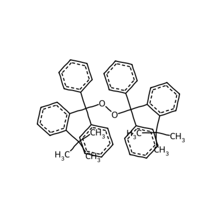 CC(C)(C)c1ccccc1C(OOC(c1ccccc1)(c1ccccc1)c1ccccc1C(C)(C)C)(c1ccccc1)c1ccccc1